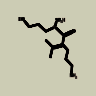 CC(C)=C(CCCN)C(=O)N(CCCO)S(=O)(=O)O